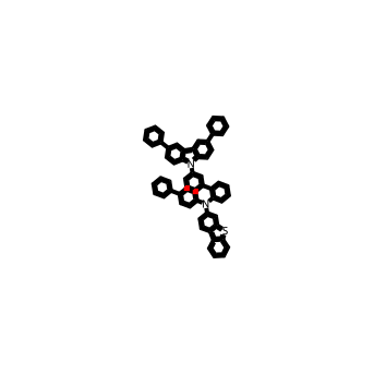 c1ccc(-c2ccc(N(c3ccc4c(c3)sc3ccccc34)c3ccccc3-c3cccc(-n4c5ccc(-c6ccccc6)cc5c5cc(-c6ccccc6)ccc54)c3)cc2)cc1